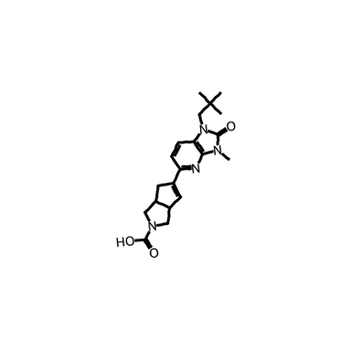 Cn1c(=O)n(CC(C)(C)C)c2ccc(C3=CC4CN(C(=O)O)CC4C3)nc21